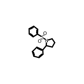 O=S(=O)(c1ccccc1)N1CCCC1c1ccccc1